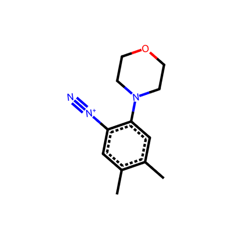 Cc1cc([N+]#N)c(N2CCOCC2)cc1C